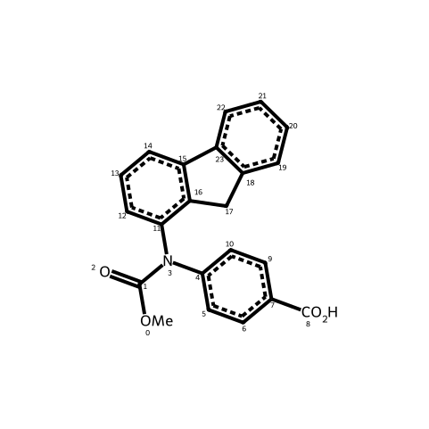 COC(=O)N(c1ccc(C(=O)O)cc1)c1cccc2c1Cc1ccccc1-2